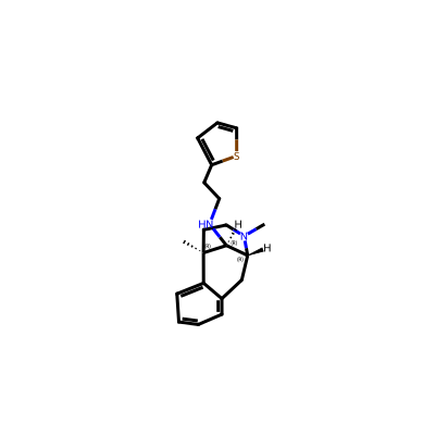 CN1CC[C@]2(C)c3ccccc3C[C@@H]1[C@@H]2NCCc1cccs1